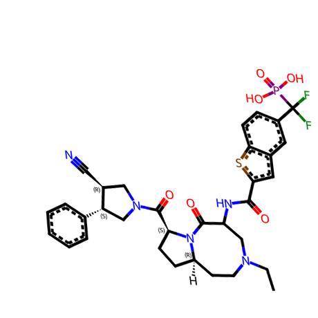 CCN1CC[C@H]2CC[C@@H](C(=O)N3C[C@H](c4ccccc4)[C@@H](C#N)C3)N2C(=O)C(NC(=O)c2cc3cc(C(F)(F)P(=O)(O)O)ccc3s2)C1